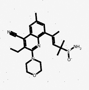 CCc1c(N2CCOCC2)nc2c(C(C)=CC(C)(C)[S+](N)[O-])cc(C)cc2c1C#N